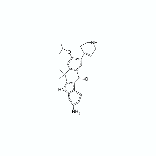 CC(C)Oc1cc2c(cc1C1=CCNCC1)C(=O)c1c([nH]c3cc(N)ccc13)C2(C)C